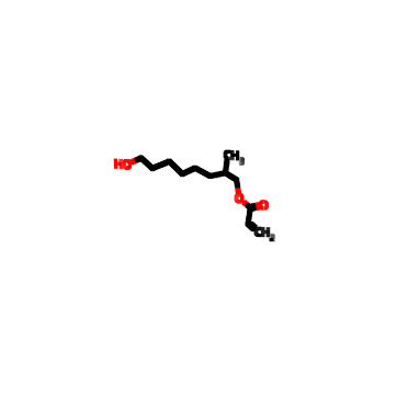 C=CC(=O)OCC(C)CCCCCCO